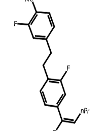 CCC/C=C(/F)c1ccc(CCc2ccc(C#N)c(F)c2)c(F)c1